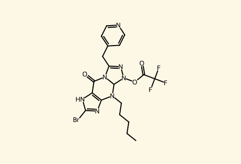 CCCCCN1c2nc(Br)[nH]c2C(=O)N2C(Cc3ccncc3)=NN(OC(=O)C(F)(F)F)C21